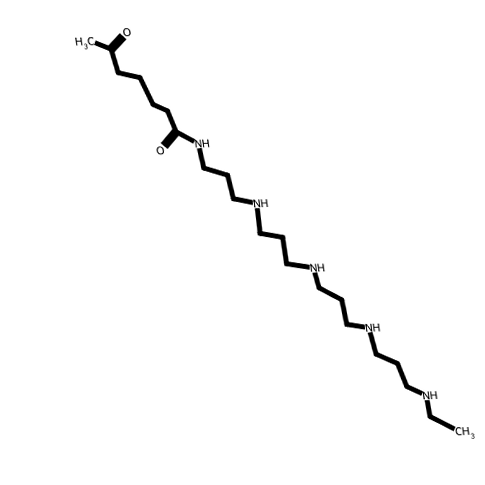 CCNCCCNCCCNCCCNCCCNC(=O)CCCCC(C)=O